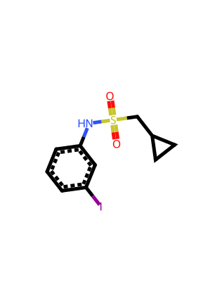 O=S(=O)(CC1CC1)Nc1cccc(I)c1